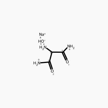 NC(=O)C(N)C(N)=O.[Na+].[OH-]